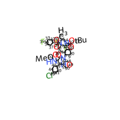 COC(=O)NC(C(=O)Nc1cccc(F)c1CCC1CN(C(=O)OC(C)(C)C)CC(C)N1S(=O)(=O)c1ccc(F)cc1)C(c1ccc(Cl)cc1)C1CCOCC1